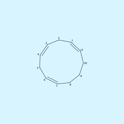 [C]1=CCC=CCC=CCCC1